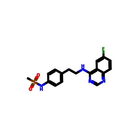 CS(=O)(=O)Nc1ccc(CCNc2ncnc3ccc(F)cc23)cc1